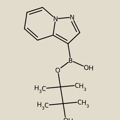 CC(C)(O)C(C)(C)OB(O)c1cnn2ccccc12